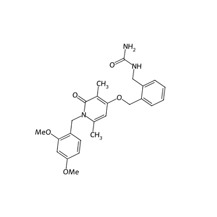 COc1ccc(Cn2c(C)cc(OCc3ccccc3CNC(N)=O)c(C)c2=O)c(OC)c1